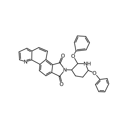 O=C1c2ccc3c(ccc4cccnc43)c2C(=O)N1C1CCC(Oc2ccccc2)NC1Oc1ccccc1